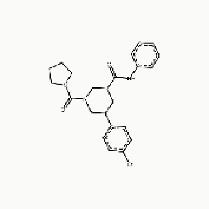 CCc1ccc(C2CC(C(=O)Nc3ccccc3)CN(C(=O)N3CCCC3)C2)cc1